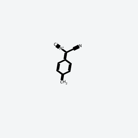 [C-]#[N+]C(C#N)=c1ccc(=C)cc1